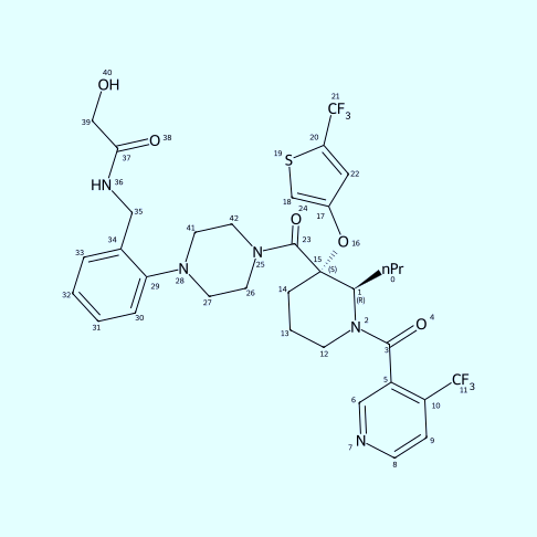 CCC[C@H]1N(C(=O)c2cnccc2C(F)(F)F)CCC[C@@]1(Oc1csc(C(F)(F)F)c1)C(=O)N1CCN(c2ccccc2CNC(=O)CO)CC1